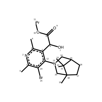 Cc1nc(C)c(C(O)C(=O)OC(C)C)c(N2CC3CCC(C)(C2)C3(C)C)c1Br